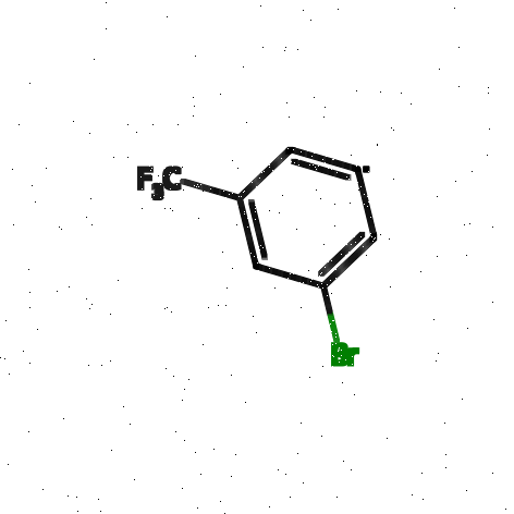 FC(F)(F)c1c[c]cc(Br)c1